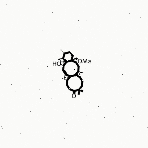 COC[C@]12CC[C@@H](C)[C@H](C)[C@H]1[C@@H](O)/C=C\[C@@H]1[C@@H](C)CCC(=O)C(C)(C)CCC[C@@]1(C)[C@H](C)CC2